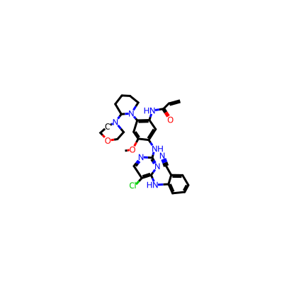 C=CC(=O)Nc1cc(Nc2ncc(Cl)c(Nc3ccccc3C#N)n2)c(OC)cc1N1CCCCC1N1CCOCC1